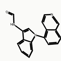 O=CNc1cn(-c2cccc3cnccc23)c2ccccc12